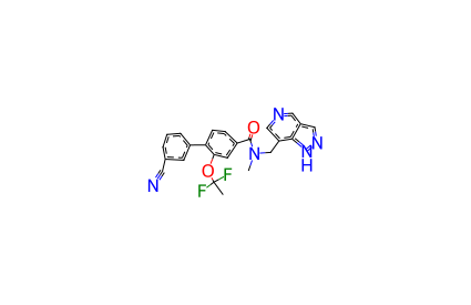 CN(Cc1cncc2cn[nH]c12)C(=O)c1ccc(-c2cccc(C#N)c2)c(OC(C)(F)F)c1